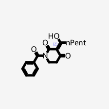 CCCCC/C(O)=C1\C(=O)CCN(C(=O)c2ccccc2)C1=O